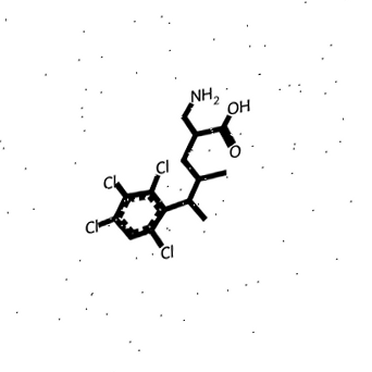 CC(CC(CN)C(=O)O)C(C)c1c(Cl)cc(Cl)c(Cl)c1Cl